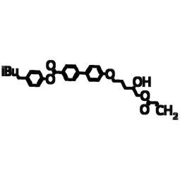 C=CC(=O)OCC(O)CCCOc1ccc(-c2ccc(C(=O)Oc3ccc(CC(C)CC)cc3)cc2)cc1